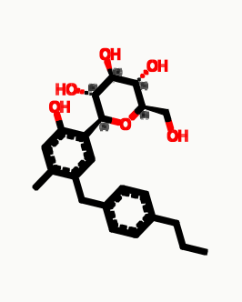 CCCc1ccc(Cc2cc([C@@H]3O[C@H](CO)[C@@H](O)[C@H](O)[C@H]3O)c(O)cc2C)cc1